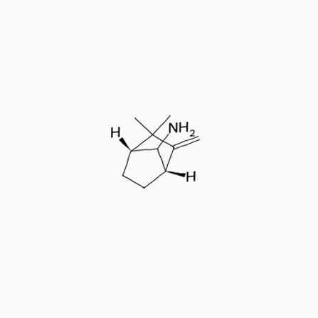 C=C1[C@@H]2CC[C@@H](C2N)C1(C)C